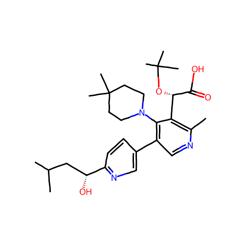 Cc1ncc(-c2ccc([C@H](O)CC(C)C)nc2)c(N2CCC(C)(C)CC2)c1[C@H](OC(C)(C)C)C(=O)O